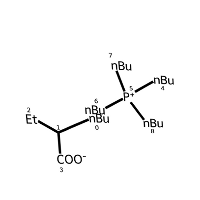 CCCCC(CC)C(=O)[O-].CCCC[P+](CCCC)(CCCC)CCCC